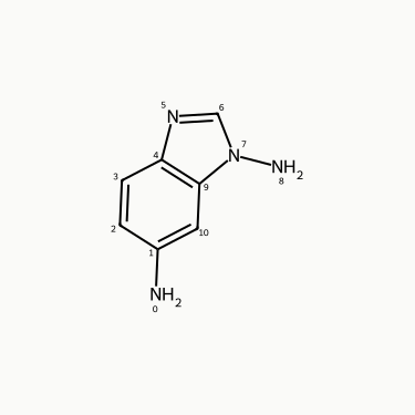 Nc1ccc2ncn(N)c2c1